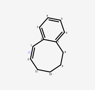 C1=C\c2ccccc2CCCC/1